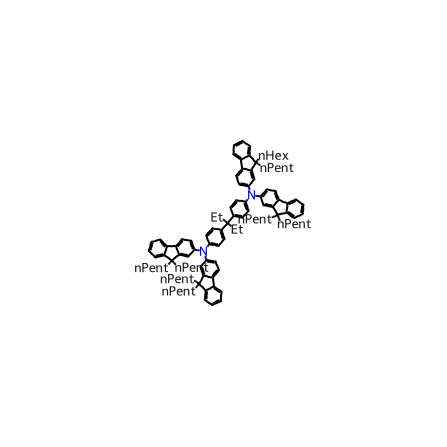 CCCCCCC1(CCCCC)c2ccccc2-c2ccc(N(c3ccc(C(CC)(CC)c4ccc(N(c5ccc6c(c5)C(CCCCC)(CCCCC)c5ccccc5-6)c5ccc6c(c5)C(CCCCC)(CCCCC)c5ccccc5-6)cc4)cc3)c3ccc4c(c3)C(CCCCC)(CCCCC)c3ccccc3-4)cc21